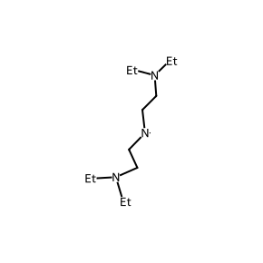 CCN(CC)CC[N]CCN(CC)CC